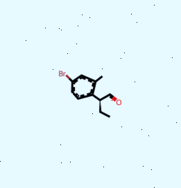 CC[C@H](C=O)c1ccc(Br)cc1C